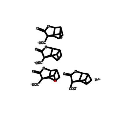 O=C([O-])C12C(=O)OC3C(CCC31)C2Br.O=C([O-])C12C(=O)OC3C(CCC31)C2Br.O=C([O-])C12C(=O)OC3C(CCC31)C2Br.O=C([O-])C12C(=O)OC3C(CCC31)C2Br.[Zr+4]